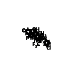 C[C@]12C=CC(=O)C=C1[C@@H](F)C[C@H]1[C@@H]3C[C@H]4CN(Cc5ccc(Cl)cc5)O[C@@]4(C(=O)NCC(F)(F)F)[C@@]3(C)C[C@H](O)[C@@]12F